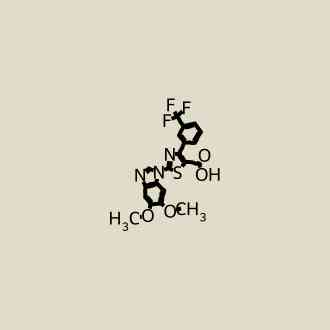 COc1cc2ncn(-c3nc(-c4cccc(C(F)(F)F)c4)c(C(=O)O)s3)c2cc1OC